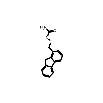 NC(=O)OOCc1cccc2c1Cc1ccccc1-2